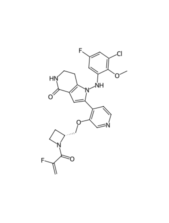 C=C(F)C(=O)N1CC[C@@H]1COc1cnccc1-c1cc2c(n1Nc1cc(F)cc(Cl)c1OC)CCNC2=O